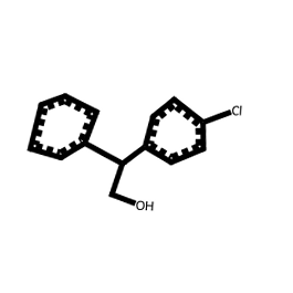 OC[C](c1ccccc1)c1ccc(Cl)cc1